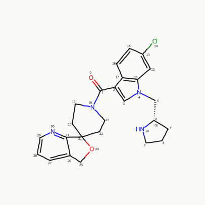 O=C(c1cn(C[C@@H]2CCCN2)c2cc(Cl)ccc12)N1CCC2(CC1)OCc1cccnc12